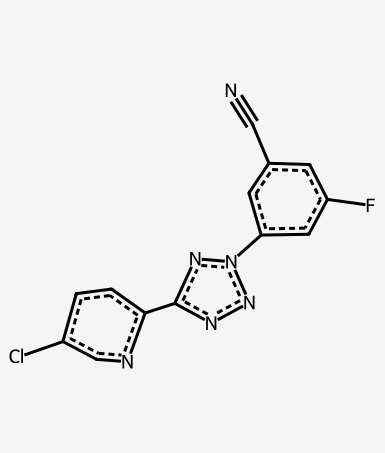 N#Cc1cc(F)cc(-n2nnc(-c3ccc(Cl)cn3)n2)c1